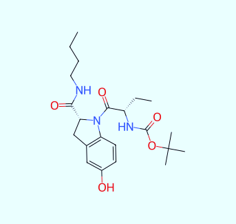 CCCCNC(=O)[C@H]1Cc2cc(O)ccc2N1C(=O)[C@H](CC)NC(=O)OC(C)(C)C